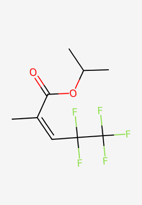 CC(=CC(F)(F)C(F)(F)F)C(=O)OC(C)C